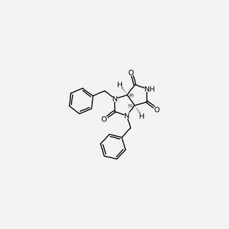 O=C1NC(=O)[C@H]2[C@@H]1N(Cc1ccccc1)C(=O)N2Cc1ccccc1